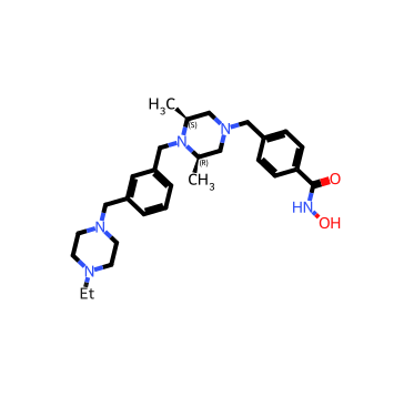 CCN1CCN(Cc2cccc(CN3[C@H](C)CN(Cc4ccc(C(=O)NO)cc4)C[C@@H]3C)c2)CC1